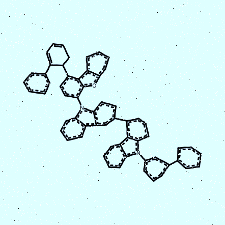 C1=CCC(c2ccc(-n3c4ccccc4c4cc(-c5cccc6c5c5ccccc5n6-c5cccc(-c6ccccc6)c5)ccc43)c3oc4ccccc4c23)C(c2ccccc2)=C1